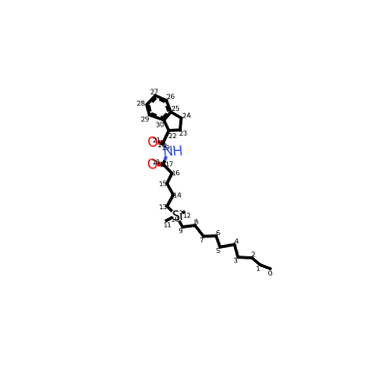 CCCCCCCCCC[Si](C)(C)CCCCC(=O)NC(=O)C1CCc2ccccc21